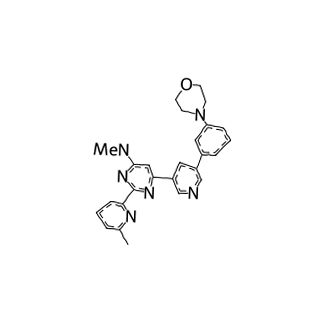 CNc1cc(-c2cncc(-c3cccc(N4CCOCC4)c3)c2)nc(-c2cccc(C)n2)n1